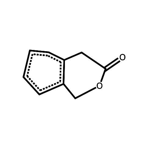 O=C1Cc2ccccc2CO1